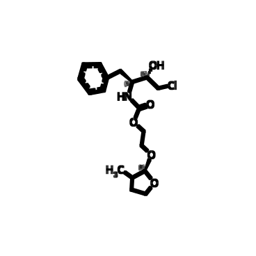 CC1CCO[C@@H]1OCCOC(=O)N[C@@H](Cc1ccccc1)[C@H](O)CCl